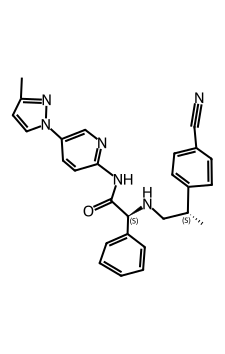 Cc1ccn(-c2ccc(NC(=O)[C@@H](NC[C@@H](C)c3ccc(C#N)cc3)c3ccccc3)nc2)n1